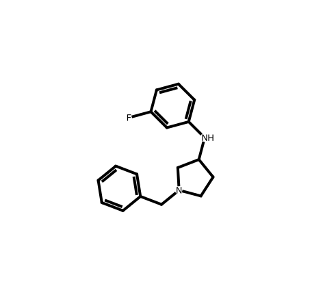 Fc1cccc(NC2CCN(Cc3ccccc3)C2)c1